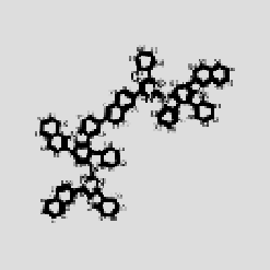 c1ccc2cc(-c3nc(-n4c5ccccc5c5c6c7cc(-c8ccc9cc(-c%10nc(-n%11c%12ccccc%12c%12c%13c%14ccccc%14n%14c%15c%16ccccc%16ccc%15c(cc%12%11)c%13%14)nc%11c%10oc%10ccccc%10%11)ccc9c8)ccc7n7c8c9ccccc9ccc8c(cc54)c67)nc4c3sc3ccccc34)ccc2c1